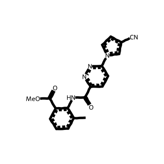 COC(=O)c1cccc(C)c1NC(=O)c1ccc(-n2ccc(C#N)c2)nn1